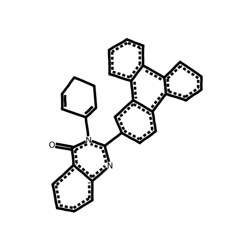 O=c1c2ccccc2nc(-c2ccc3c4ccccc4c4ccccc4c3c2)n1C1=CCCC=C1